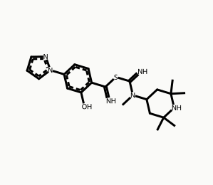 CN(C(=N)SC(=N)c1ccc(-n2cccn2)cc1O)C1CC(C)(C)NC(C)(C)C1